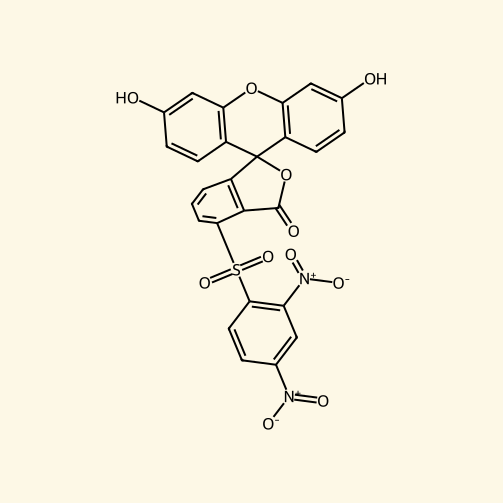 O=C1OC2(c3ccc(O)cc3Oc3cc(O)ccc32)c2cccc(S(=O)(=O)c3ccc([N+](=O)[O-])cc3[N+](=O)[O-])c21